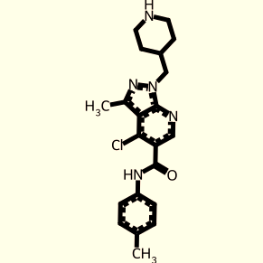 Cc1ccc(NC(=O)c2cnc3c(c(C)nn3CC3CCNCC3)c2Cl)cc1